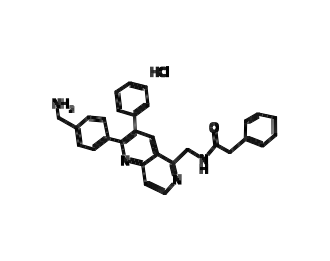 Cl.NCc1ccc(-c2nc3ccnc(CNC(=O)Cc4ccccc4)c3cc2-c2ccccc2)cc1